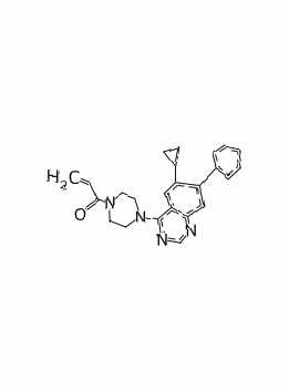 C=CC(=O)N1CCN(c2ncnc3cc(-c4ccccc4)c(C4CC4)cc23)CC1